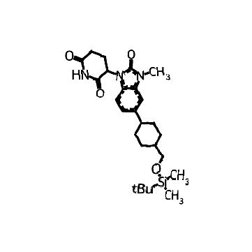 Cn1c(=O)n(C2CCC(=O)NC2=O)c2ccc(C3CCC(CO[Si](C)(C)C(C)(C)C)CC3)cc21